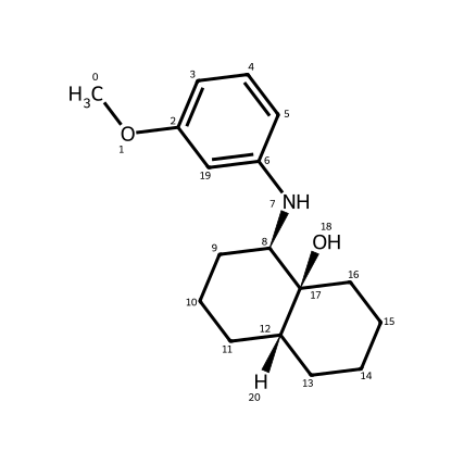 COc1cccc(N[C@@H]2CCC[C@H]3CCCC[C@]32O)c1